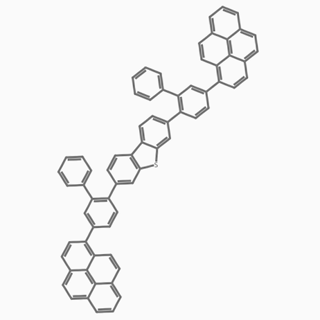 c1ccc(-c2cc(-c3ccc4ccc5cccc6ccc3c4c56)ccc2-c2ccc3c(c2)sc2cc(-c4ccc(-c5ccc6ccc7cccc8ccc5c6c78)cc4-c4ccccc4)ccc23)cc1